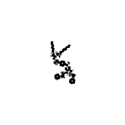 CCCCCCCNC(=O)NC(Cn1cnc(-c2ccc(C(=O)N3C[C@@H](C(=O)N[C@H]4C[C@@H]4c4ccccc4)[C@H](C(=O)N[C@H]4C[C@@H]4c4ccccc4)C3)cc2)c1)C(=O)NCCCCCC